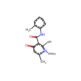 CCCCCCn1c(C)cc(=O)c(C(=O)Nc2ccccc2C)c1CCC